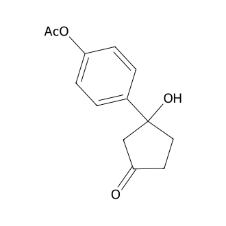 CC(=O)Oc1ccc(C2(O)CCC(=O)C2)cc1